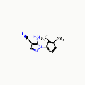 Cc1cccc(-n2ncc(C#N)c2N)c1C